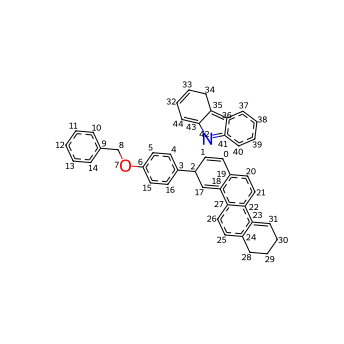 C1=CC(c2ccc(OCc3ccccc3)cc2)C=c2c1ccc1c3c(ccc21)CCCC=3.C1=CCC2=c3ccccc3=NC2=C1